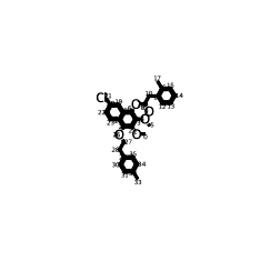 COc1c(OC)c(OC(=O)Cc2ccccc2C)c2cc(Cl)ccc2c1OCCc1ccc(C)cc1